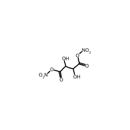 O=C(O[N+](=O)[O-])C(O)C(O)C(=O)O[N+](=O)[O-]